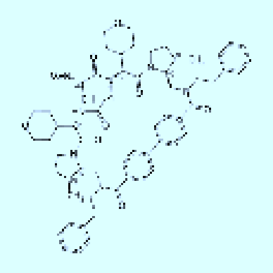 CN[C@@H](C)C(=O)N[C@H](C(=O)N1CC[C@H](C)[C@H]1CN(CCc1ccccc1)C(=O)c1ccc(-c2ccc(C(=O)N(CCc3ccccc3)C[C@@H]3[C@@H](C)CCN3C(=O)[C@@H](NC(=O)C(C)C)C3CCOCC3)cc2)cc1)C1CCOCC1